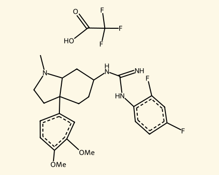 COc1ccc(C23CCC(NC(=N)Nc4ccc(F)cc4F)CC2N(C)CC3)cc1OC.O=C(O)C(F)(F)F